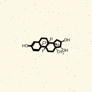 C[C@]12CC[C@@]3(F)[C@@H](CCC4C=C(O)C=C[C@@]43C)[C@@H]1C[C@@H](O)[C@@H]2O